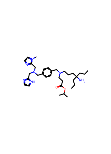 CCCC(N)(CCC)CCCN(CCC(=O)OC(C)C)Cc1ccc(CN(Cc2ncc[nH]2)Cc2nccn2C)cc1